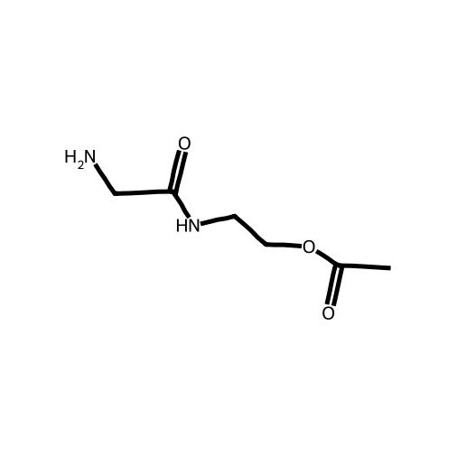 CC(=O)OCCNC(=O)CN